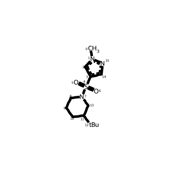 Cn1cc(S(=O)(=O)N2CCCC(C(C)(C)C)C2)cn1